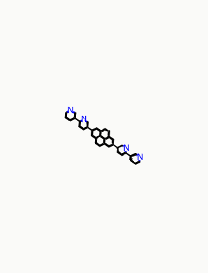 c1cncc(-c2ccc(-c3cc4ccc5cc(-c6ccc(-c7cccnc7)nc6)cc6ccc(c3)c4c56)cn2)c1